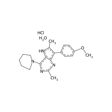 COc1ccc(-c2c(C)[nH]c3c(N4CCCCC4)nc(C)nc23)cc1.Cl.O